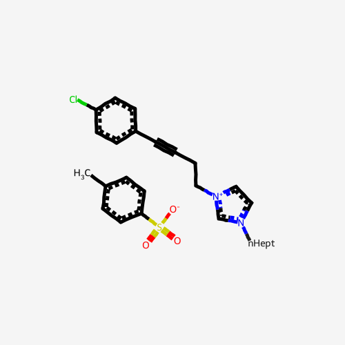 CCCCCCCn1cc[n+](CCC#Cc2ccc(Cl)cc2)c1.Cc1ccc(S(=O)(=O)[O-])cc1